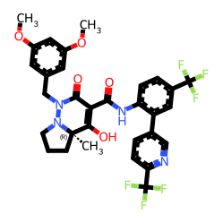 COc1cc(CN2C(=O)C(C(=O)Nc3ccc(C(F)(F)F)cc3-c3ccc(C(F)(F)F)nc3)=C(O)[C@@]3(C)CCCN23)cc(OC)c1